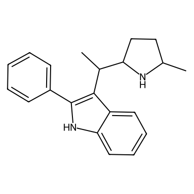 CC1CCC(C(C)c2c(-c3ccccc3)[nH]c3ccccc23)N1